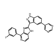 Fc1cccc(-c2nccc3[nH]c(-c4n[nH]c5ccc(-c6cncnc6)cc45)nc23)c1